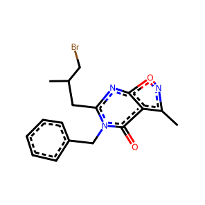 Cc1noc2nc(CC(C)CBr)n(Cc3ccccc3)c(=O)c12